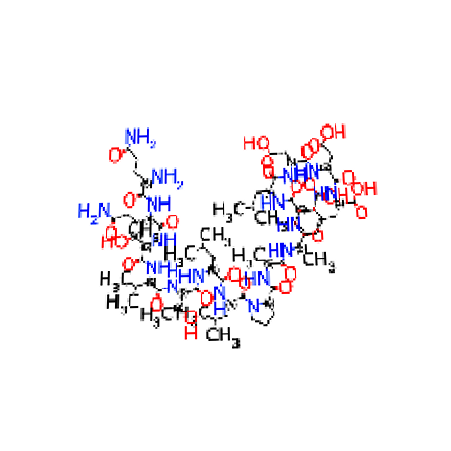 CC(C)C[C@H](NC(=O)[C@H](CC(=O)O)NC(=O)[C@H](C)NC(=O)[C@H](C)NC(=O)[C@@H]1CCCN1C(=O)[C@H](CC(C)C)NC(=O)[C@H](CC(C)C)NC(=O)[C@@H](NC(=O)[C@@H](NC(=O)[C@@H](NC(=O)[C@H](CCC(N)=O)NC(=O)[C@@H](N)CCC(N)=O)[C@@H](C)O)C(C)C)[C@@H](C)O)C(=O)N[C@@H](CC(=O)O)C(=O)N[C@@H](CC(=O)O)C(=O)N[C@@H](Cc1ccccc1)C(=O)O